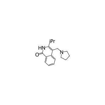 CC(C)c1[nH]c(=O)c2ccccc2c1CN1CCCC1